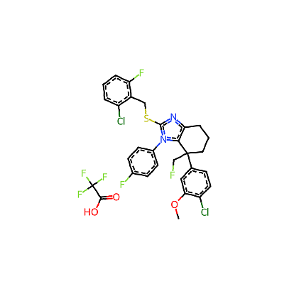 COc1cc(C2(CF)CCCc3nc(SCc4c(F)cccc4Cl)n(-c4ccc(F)cc4)c32)ccc1Cl.O=C(O)C(F)(F)F